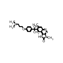 Cc1cc2nnc3c([nH]c(=O)n3C)c2cc1C(C)(C)c1ccc(OCCCN(C)C)cc1